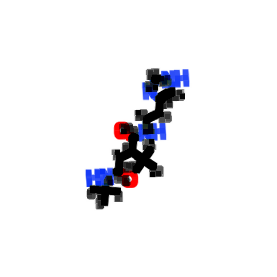 CC(C)(C)NC(=O)CC(C(=O)NCCc1c[nH]cn1)C(C)(C)C